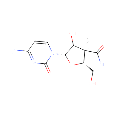 C[C@@]1(C(N)=O)C(O)[C@@H](n2ccc(N)nc2=O)O[C@@H]1CO